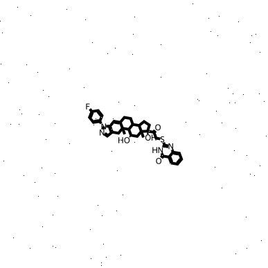 CC12Cc3cnn(-c4ccc(F)cc4)c3C=C1CCC1C2[C@@H](O)CC2(C)C1CC[C@]2(O)C(=O)CSc1nc2ccccc2c(=O)[nH]1